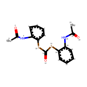 CC(C)(C)C(=O)Nc1ccccc1SC(=O)Sc1ccccc1NC(=O)C(C)(C)C